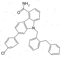 NC(=O)c1cccc2c1c1[c]cc(-c3ccc(Cl)cc3)cc1n2Cc1ccccc1Cc1ccccc1